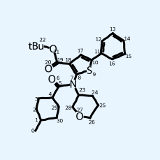 CC1CCC(C(=O)N(c2sc(-c3ccccc3)cc2C(=O)OC(C)(C)C)C2CCCOC2)CC1